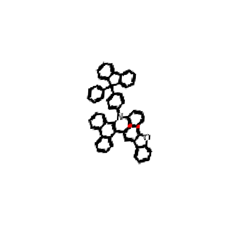 c1ccc(N(c2ccc(C3(c4ccccc4)c4ccccc4-c4ccccc43)cc2)c2c(-c3ccc4oc5ccccc5c4c3)c3ccccc3c3ccccc23)cc1